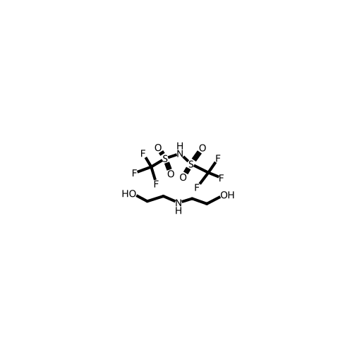 O=S(=O)(NS(=O)(=O)C(F)(F)F)C(F)(F)F.OCCNCCO